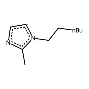 CCCCCCn1[c]cnc1C